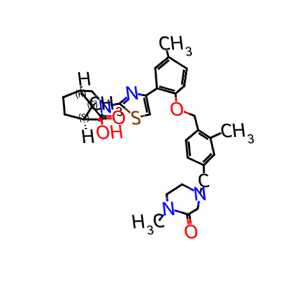 Cc1ccc(OCc2ccc(CN3CCN(C)C(=O)C3)cc2C)c(-c2csc(N3C[C@H]4CC[C@@H](C3)[C@@]4(C)C(=O)O)n2)c1